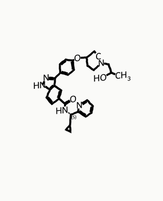 CC(O)CN1CCC(Oc2ccc(-c3n[nH]c4ccc(C(=O)N[C@H](c5ccccn5)C5CC5)cc34)cc2)CC1